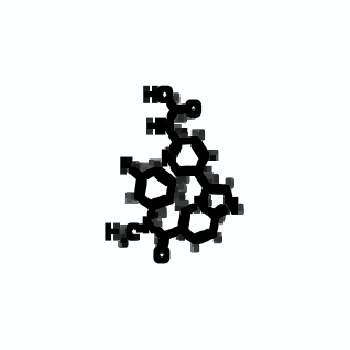 CN(C(=O)c1ccc2ncc(-c3ccc(NC(=O)O)nc3)n2c1)c1cccc(F)c1